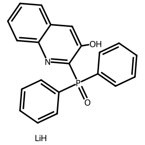 O=P(c1ccccc1)(c1ccccc1)c1nc2ccccc2cc1O.[LiH]